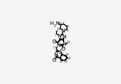 CCn1c(N2CCCC(N)C2)nc2c1c(=O)n(Cc1nc(=O)c3ccccc3s1)c(=O)n2C